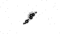 CCCC1CCC(COc2ccc3c(c2F)C(=O)C(=O)c2c-3ccc(OCC)c2F)CC1